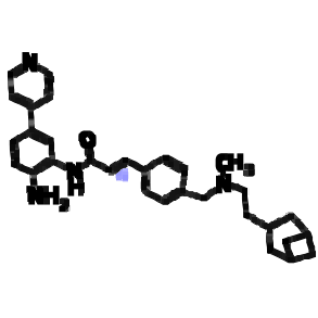 CN(CCC1CC2CC(C1)C2)Cc1ccc(/C=C/C(=O)Nc2cc(-c3ccncc3)ccc2N)cc1